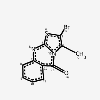 Cc1c(Br)sc2nc3ccccc3c(=O)n12